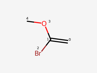 C=C(Br)OC